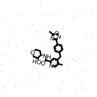 Cc1nc(-c2ccc(Cc3cc(C(=O)N[C@H]4CCOC[C@@H]4O)ncc3C)cc2)no1